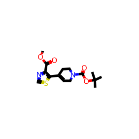 COC(=O)c1ncsc1C1=CCN(C(=O)OC(C)(C)C)CC1